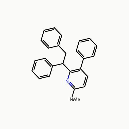 CNc1ccc(-c2ccccc2)c(C(Cc2ccccc2)c2ccccc2)n1